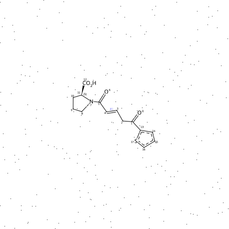 O=C(C/C=C/C(=O)N1CCC[C@H]1C(=O)O)c1cccs1